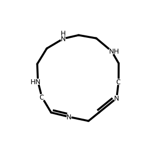 C1=NCC=NCCNCCNCCNC1